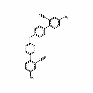 N#Cc1cc(N)ccc1-c1ccc(Sc2ccc(-c3ccc(N)cc3C#N)cc2)cc1